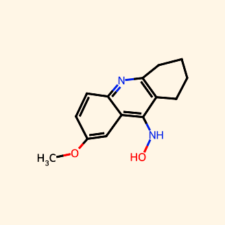 COc1ccc2nc3c(c(NO)c2c1)CCCC3